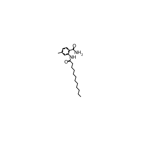 CCCCCCCCCCCC(=O)Nc1cc(C)ccc1C(N)=O